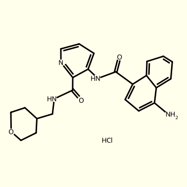 Cl.Nc1ccc(C(=O)Nc2cccnc2C(=O)NCC2CCOCC2)c2ccccc12